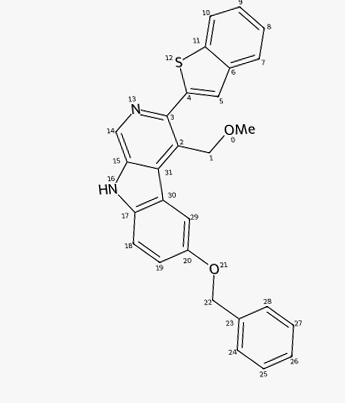 COCc1c(-c2cc3ccccc3s2)ncc2[nH]c3ccc(OCc4ccccc4)cc3c12